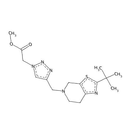 COC(=O)Cn1cc(CN2CCc3nc(C(C)(C)C)sc3C2)nn1